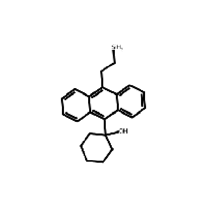 OC1(c2c3ccccc3c(CC[SiH3])c3ccccc23)CCCCC1